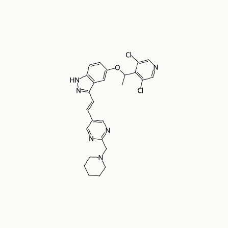 CC(Oc1ccc2[nH]nc(/C=C/c3cnc(CN4CCCCC4)nc3)c2c1)c1c(Cl)cncc1Cl